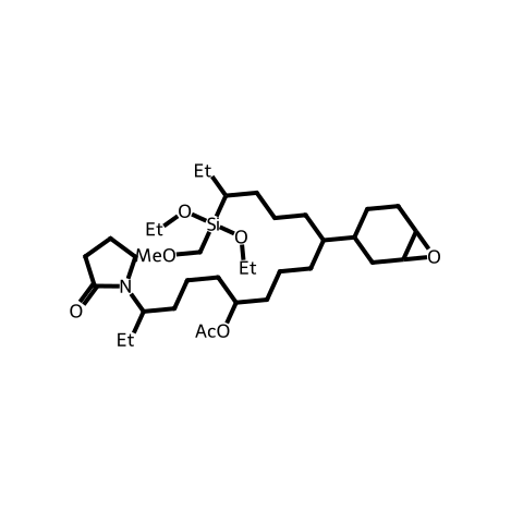 CCO[Si](COC)(OCC)C(CC)CCCC(CCCC(CCCC(CC)N1CCCC1=O)OC(C)=O)C1CCC2OC2C1